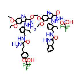 CCOc1cc2ncc(C(N)=O)c(Nc3cccc(CNC(=O)[C@H](N)CCc4ccccc4)c3CC)c2cc1OCC.CCOc1cc2ncc(C(N)=O)c(Nc3cccc(CNC(=O)[C@H]4Cc5ccccc5CN4)c3CC)c2cc1OCC.O=C(O)C(F)(F)F.O=C(O)C(F)(F)F